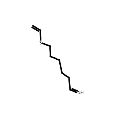 C=CSCCCCCC=N